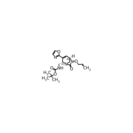 C=CCON1C(=O)N2C[C@H]1C=C(c1ncco1)[C@H]2CNC(=O)OC(C)(C)C